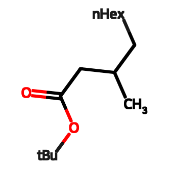 CCCCCCCC(C)CC(=O)OC(C)(C)C